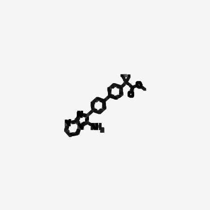 COC(=O)C1(c2ccc(-c3ccc(-c4nc5ncccn5c4N)cc3)cc2)CC1